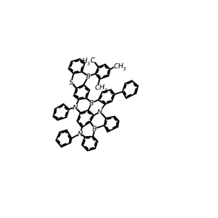 Cc1cc(C)c(B2c3ccccc3Sc3cc4c(cc32)B2c3ccc(-c5ccccc5)cc3N3c5ccccc5B5c6ccccc6N(c6ccccc6)c6cc(c2c3c65)N4c2ccccc2)c(C)c1